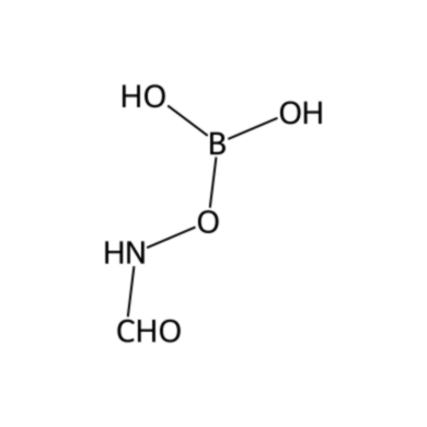 O=CNOB(O)O